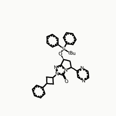 CC(C)(C)[Si](O[C@H]1CC(c2cnccn2)n2c1nn(C1CC(c3ccccc3)C1)c2=O)(c1ccccc1)c1ccccc1